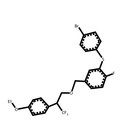 CCOc1ccc(C(COCc2ccc(F)c(Sc3ccc(Br)cc3)c2)C(F)(F)F)cc1